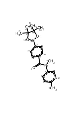 Cc1ccc(N(C)C(=O)c2ccc(B3OC(C)(C)C(C)(C)O3)cc2)cn1